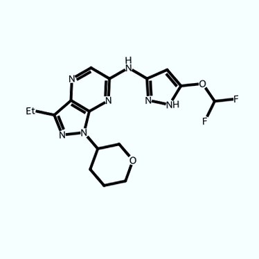 CCc1nn(C2CCCOC2)c2nc(Nc3cc(OC(F)F)[nH]n3)cnc12